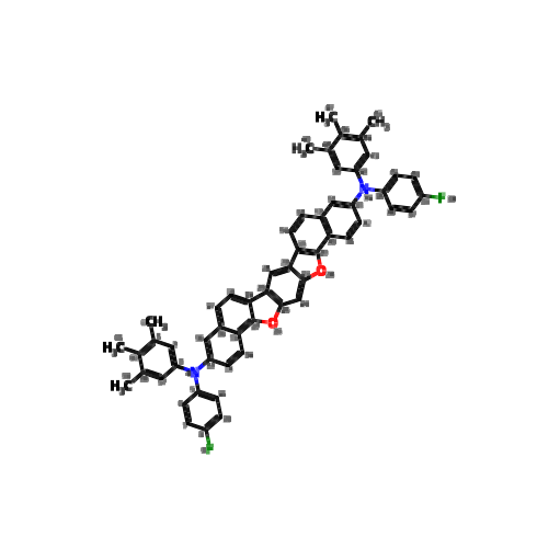 Cc1cc(N(c2ccc(F)cc2)c2ccc3c(ccc4c5cc6c(cc5oc34)oc3c4ccc(N(c5ccc(F)cc5)c5cc(C)c(C)c(C)c5)cc4ccc63)c2)cc(C)c1C